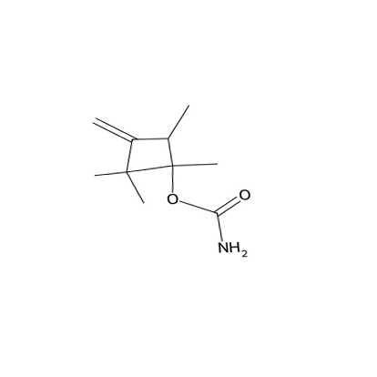 C=C1C(C)C(C)(OC(N)=O)C1(C)C